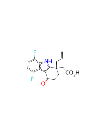 C=CCC1(CC(=O)O)CCC(=O)c2c1[nH]c1c(F)ccc(F)c21